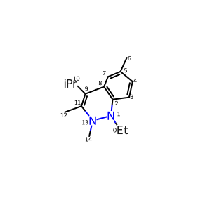 CCN1c2ccc(C)cc2C(C(C)C)=C(C)N1C